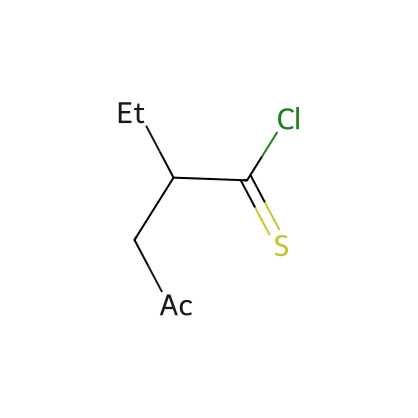 CCC(CC(C)=O)C(=S)Cl